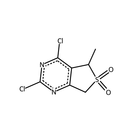 CC1c2c(Cl)nc(Cl)nc2CS1(=O)=O